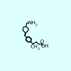 CC(CCC(=O)O)c1ccc(C=C2CCC(CN)CC2)cc1